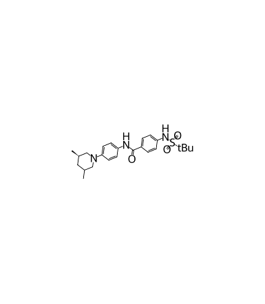 CC1C[C@@H](C)CN(c2ccc(NC(=O)c3ccc(NS(=O)(=O)C(C)(C)C)cc3)cc2)C1